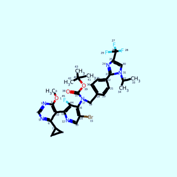 COc1ncnc(C2CC2)c1-c1ncc(Br)c(N(Cc2ccc(-c3nc(C(F)(F)F)cn3C(C)C)cc2)C(=O)OC(C)(C)C)c1F